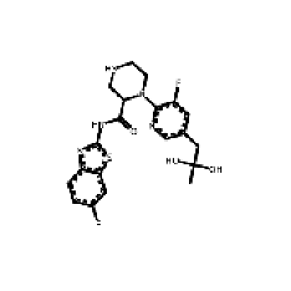 CC(O)(O)Cc1cnc(N2CCNCC2C(=O)Nc2nc3ccc(F)cc3s2)c(F)c1